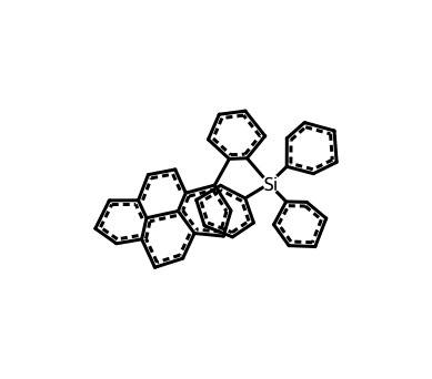 c1ccc([Si](c2ccccc2)(c2ccccc2)c2ccccc2-c2ccc3ccc4cccc5ccc2c3c45)cc1